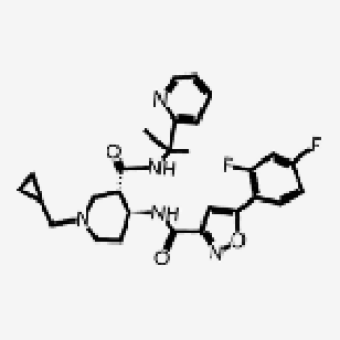 CC(C)(NC(=O)[C@H]1CN(CC2CC2)CC[C@@H]1NC(=O)c1cc(-c2ccc(F)cc2F)on1)c1ccccn1